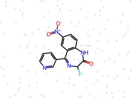 O=C1Nc2ccc([N+](=O)[O-])cc2C(c2cccnc2)=NC1F